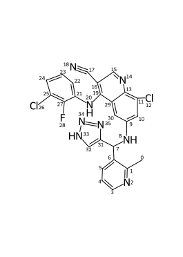 Cc1ncccc1C(Nc1cc(Cl)c2ncc(C#N)c(Nc3cccc(Cl)c3F)c2c1)c1c[nH]nn1